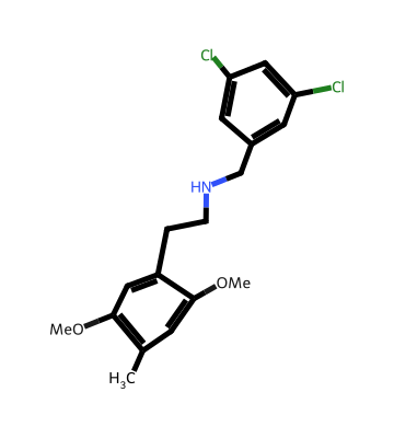 COc1cc(CCNCc2cc(Cl)cc(Cl)c2)c(OC)cc1C